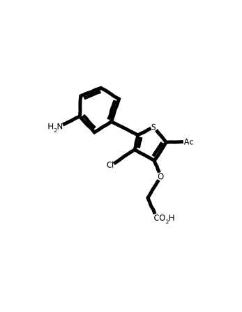 CC(=O)c1sc(-c2cccc(N)c2)c(Cl)c1OCC(=O)O